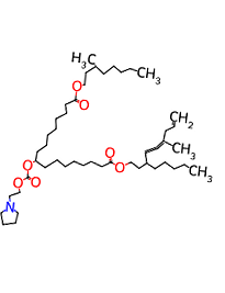 C=CCC(C)=C=CC(CCCCC)CCOC(=O)CCCCCCCC(CCCCCCCC(=O)OCCC(C)CCCCC)OC(=O)OCCN1CCCC1